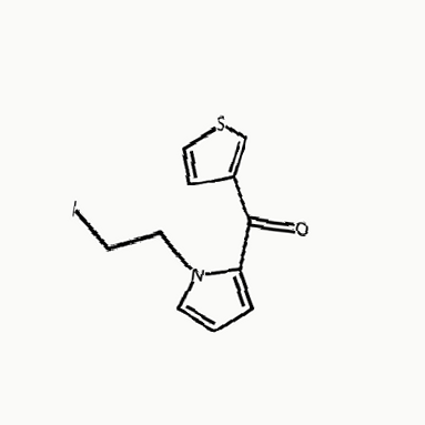 O=C(c1ccsc1)c1cccn1CCI